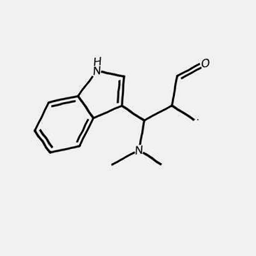 [CH2]C(C=O)C(c1c[nH]c2ccccc12)N(C)C